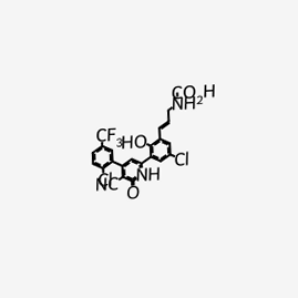 N#Cc1c(-c2cc(C(F)(F)F)ccc2Cl)cc(-c2cc(Cl)cc(C=CCNC(=O)O)c2O)[nH]c1=O